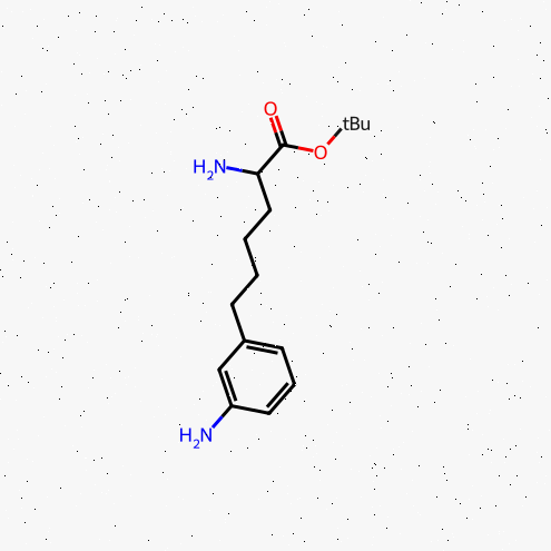 CC(C)(C)OC(=O)C(N)CCCCc1cccc(N)c1